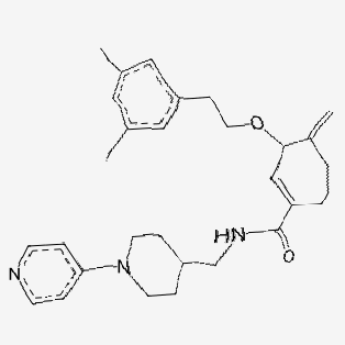 C=C1CCC(C(=O)NCC2CCN(c3ccncc3)CC2)=CC1OCCc1cc(C)cc(C)c1